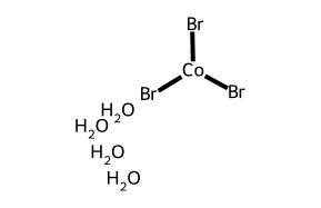 O.O.O.O.[Br][Co]([Br])[Br]